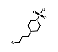 CCS(=O)(=O)N1CCN(CCC[O])CC1